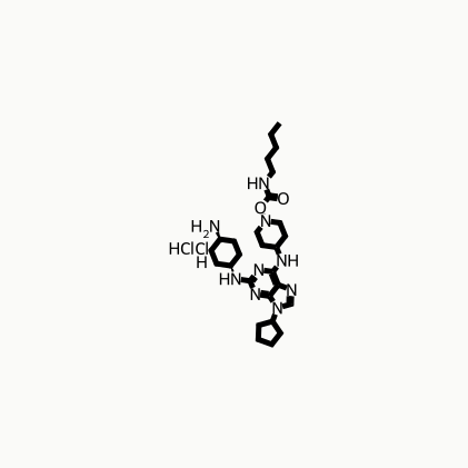 CCCCCNC(=O)ON1CCC(Nc2nc(N[C@H]3CC[C@H](N)CC3)nc3c2ncn3C2CCCC2)CC1.Cl.Cl